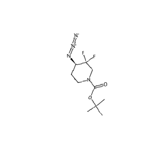 CC(C)(C)OC(=O)N1CC[C@@H](N=[N+]=[N-])C(F)(F)C1